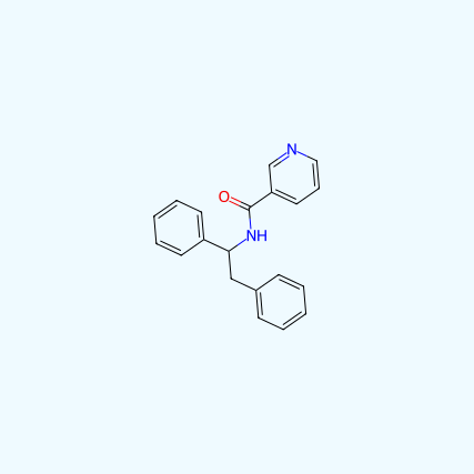 O=C(NC(Cc1ccccc1)c1ccccc1)c1cccnc1